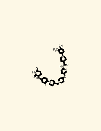 N#Cc1ccc(N2CCC(C(=O)Nc3ccc(OC4CCN(CC5CCN(c6ccc(N[C@H]7CCC(=O)NC7=O)cc6F)CC5)CC4)cn3)CC2)cc1C(F)(F)F